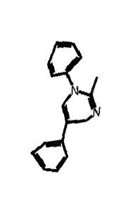 CC1=NCC(c2ccccc2)=CN1c1ccccc1